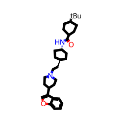 CC(C)(C)C1CCC(C(=O)N[C@H]2CC[C@H](CCN3CCC(c4coc5ccccc45)CC3)CC2)CC1